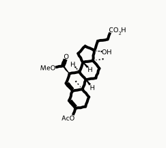 COC(=O)[C@@H]1C=C2C=C(OC(C)=O)CC[C@]2(C)[C@H]2CC[C@@]3(C)[C@@H](CC[C@@]3(O)CCC(=O)O)[C@H]12